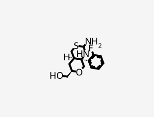 NC1N[C@@]2(c3ccccc3F)CO[C@@H](CO)C[C@H]2CS1